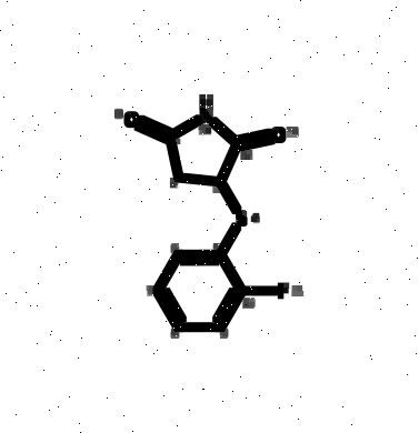 O=C1CC(Sc2ccccc2F)C(=O)N1